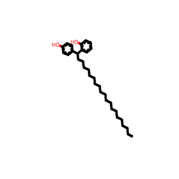 CCCCCCCCCCCCCCCCCCCCC(c1ccc(O)cc1)c1ccccc1O